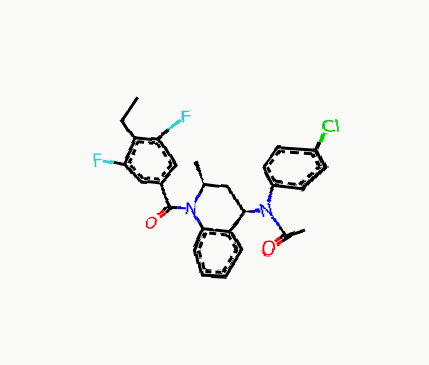 CCc1c(F)cc(C(=O)N2c3ccccc3[C@H](N(C(C)=O)c3ccc(Cl)cc3)C[C@@H]2C)cc1F